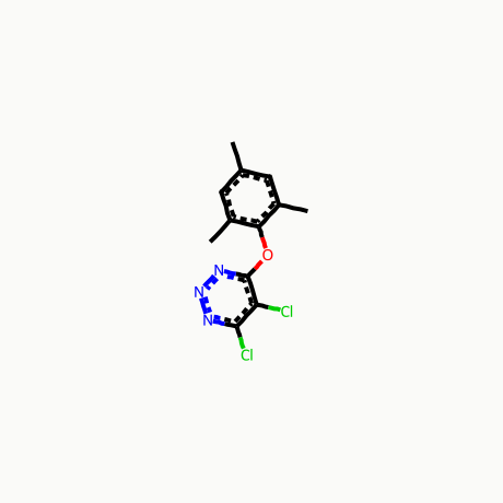 Cc1cc(C)c(Oc2nnnc(Cl)c2Cl)c(C)c1